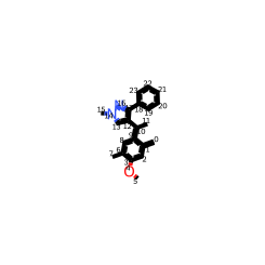 C=c1cc(OC)c(C)c/c1=C(/C)c1cn(C)nc1-c1ccccc1